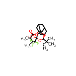 CCC(C)C(=O)OC12CC3CC(C1)C1(CC(O)(C(F)(F)F)OC(C(C)(C)C)O1)C(C3)C2